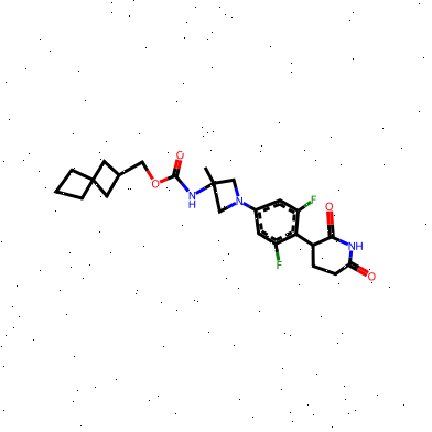 CC1(NC(=O)OCC2CC3(CCC3)C2)CN(c2cc(F)c(C3CCC(=O)NC3=O)c(F)c2)C1